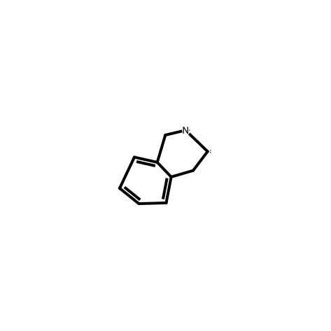 [C]1Cc2ccccc2C[N]1